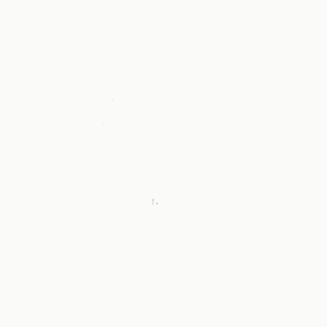 CS(=O)(=O)c1cccc(C2=NCCc3ccccc32)c1